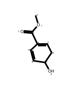 COC(=O)C1=CCC(O)C=C1